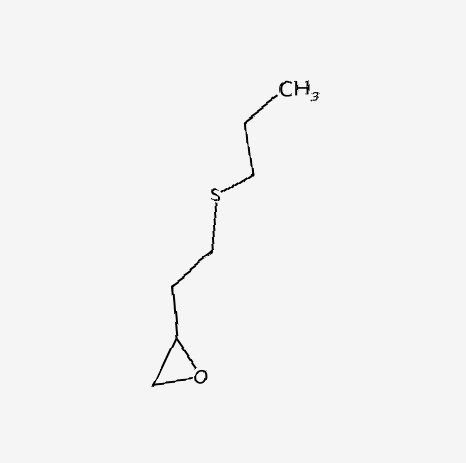 CCCSCCC1CO1